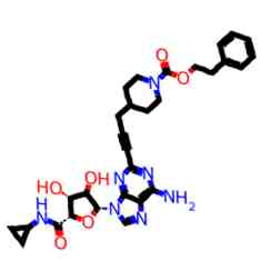 Nc1nc(C#CCC2CCN(C(=O)OCCc3ccccc3)CC2)nc2c1ncn2[C@@H]1O[C@H](C(=O)NC2CC2)[C@H](O)C1O